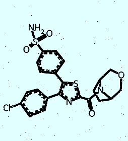 NS(=O)(=O)c1ccc(-c2sc(C(=O)N3C4CCC3COC4)nc2-c2ccc(Cl)cc2)cc1